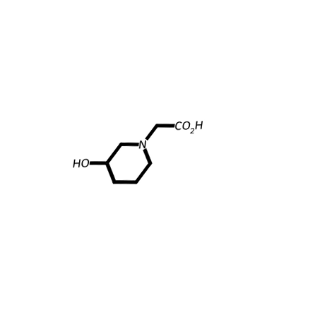 O=C(O)CN1CCCC(O)C1